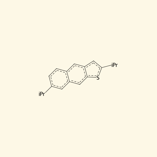 CC(C)c1ccc2cc3cc(C(C)C)sc3cc2c1